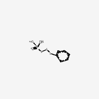 O=P(O)(O)SSSc1ccccc1